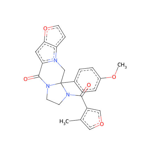 COc1ccc(C23Cn4c(cc5occc54)C(=O)N2CCN3C(=O)c2cocc2C)cc1